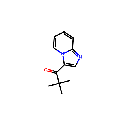 CC(C)(C)C(=O)c1cnc2ccccn12